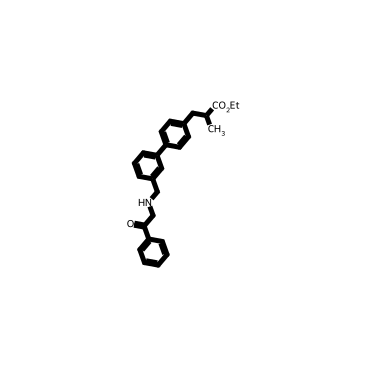 CCOC(=O)C(C)Cc1ccc(-c2cccc(CNCC(=O)c3ccccc3)c2)cc1